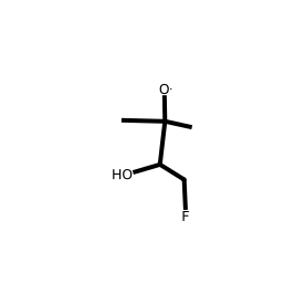 CC(C)([O])C(O)CF